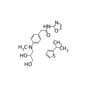 CC(C)c1cccs1.CN(CC(O)CO)c1ccc(CC(=O)Nc2ncco2)cc1